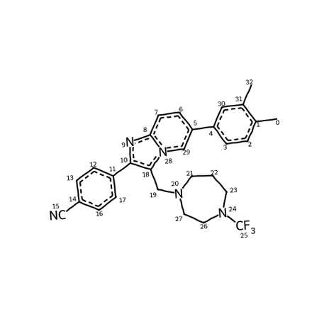 Cc1ccc(-c2ccc3nc(-c4ccc(C#N)cc4)c(CN4CCCN(C(F)(F)F)CC4)n3c2)cc1C